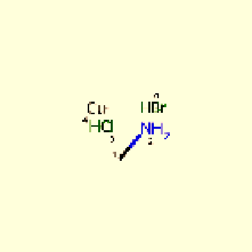 Br.CN.Cl.[Cu]